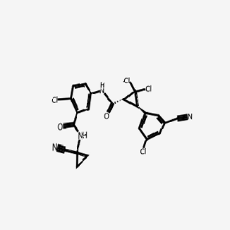 N#Cc1cc(Cl)cc([C@H]2[C@H](C(=O)Nc3ccc(Cl)c(C(=O)NC4(C#N)CC4)c3)C2(Cl)Cl)c1